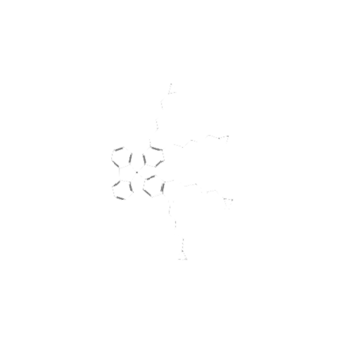 c1ccc2c(c1)-c1ccccc1C2(c1ccc(OCCOCC2CO2)c(OCCOCC2CO2)c1)c1ccc(OCCOCC2CO2)c(OCCOCC2CO2)c1